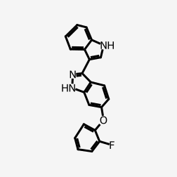 Fc1ccccc1Oc1ccc2c(-c3c[nH]c4ccccc34)n[nH]c2c1